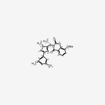 COc1ccnc2c(=O)n([C@@H](C)c3nc(-c4cc(C)cc(C)c4)nn3C)c(=O)oc12